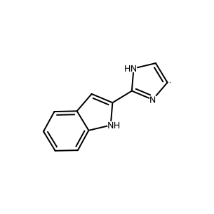 [c]1c[nH]c(-c2cc3ccccc3[nH]2)n1